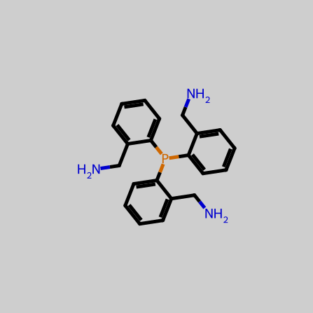 NCc1ccccc1P(c1ccccc1CN)c1ccccc1CN